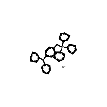 [Br-].c1ccc(N(c2ccccc2)c2ccc(C[P+](c3ccccc3)(c3ccccc3)c3ccccc3)cc2)cc1